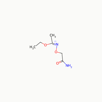 CCO/C(C)=N\OCC(N)=O